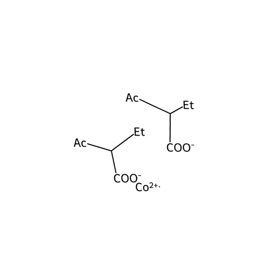 CCC(C(C)=O)C(=O)[O-].CCC(C(C)=O)C(=O)[O-].[Co+2]